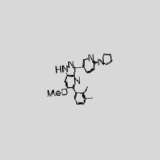 COc1cc2[nH]nc(-c3ccc(N4CCCC4)nc3)c2nc1-c1cccc(C)c1C